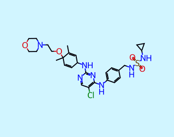 CC1=CC(Nc2ncc(Cl)c(Nc3ccc(CNS(=O)(=O)NC4CC4)cc3)n2)C=CC1(C)OCCN1CCOCC1